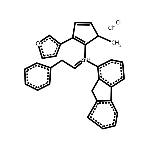 CC1C=CC(c2ccoc2)=[C]1[Zr+2](=[CH]Cc1ccccc1)[c]1cccc2c1Cc1ccccc1-2.[Cl-].[Cl-]